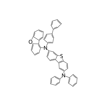 c1ccc(-c2ccc(N(c3ccc4c(c3)sc3ccc(N(c5ccccc5)c5ccccc5)cc34)c3cccc4oc5ccccc5c34)cc2)cc1